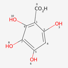 O=C(O)c1c(O)cc(O)c(O)c1O